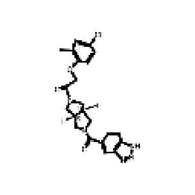 Cc1cc(Cl)ccc1OCC(=O)N1C[C@@H]2CN(C(=O)c3ccc4[nH]nnc4c3)C[C@@H]2C1